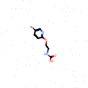 O=C(O)NCCOc1ccc(Br)cn1